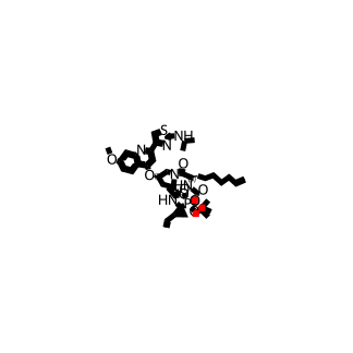 C=CCCCCC[C@H](NC(=O)OC(C)(C)C)C(=O)N1C[C@H](Oc2cc(-c3csc(NC(C)C)n3)nc3cc(OC)ccc23)C[C@H]1C(=O)NC1(P(=O)(OCC)OCC)CC1C=C